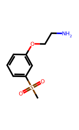 CS(=O)(=O)c1cccc(OCCN)c1